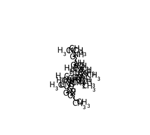 CCCC[C@@H](C(=O)N[C@H](C(=O)NC(C)(C)C(=O)N[C@@H](CC(C)C)C(=O)N[C@@H](CC(C)C)C(=O)NC(C)(C)C(=O)NC(C)(C)C(=O)NCCC(=O)N[C@@H](C)CN(C)C)[C@H](O)C(C)C)N(C=O)[C@@H]1CCCN1C(=O)/C=C/[C@@H](C)CC